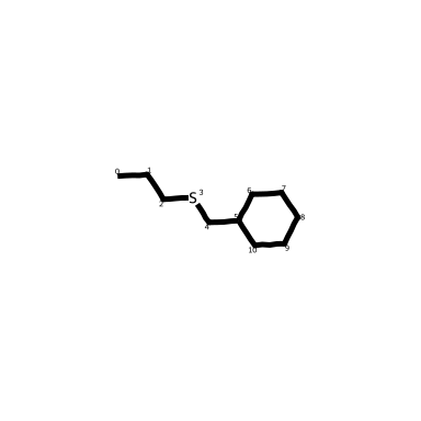 CCCSCC1CCCCC1